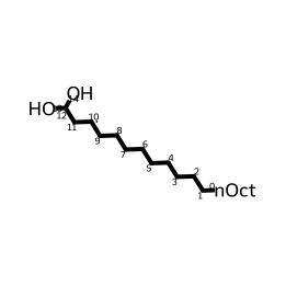 CCCCCCCCCCCCCCCCC[CH]CC(O)O